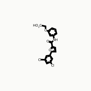 O=C(O)COc1cccc(NC(=O)c2ccc(-c3cc(Cl)cc(Cl)c3)o2)c1